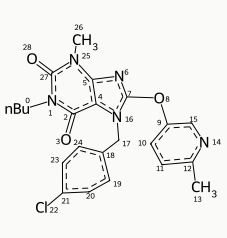 CCCCn1c(=O)c2c(nc(Oc3ccc(C)nc3)n2Cc2ccc(Cl)cc2)n(C)c1=O